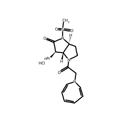 CCC[C@H]1C(=O)N(S(C)(=O)=O)[C@H]2CCN(C(=O)CN3C=CC=CC=C3)[C@H]12.Cl